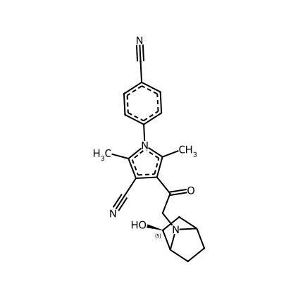 Cc1c(C#N)c(C(=O)CN2C3CCC2[C@@H](O)C3)c(C)n1-c1ccc(C#N)cc1